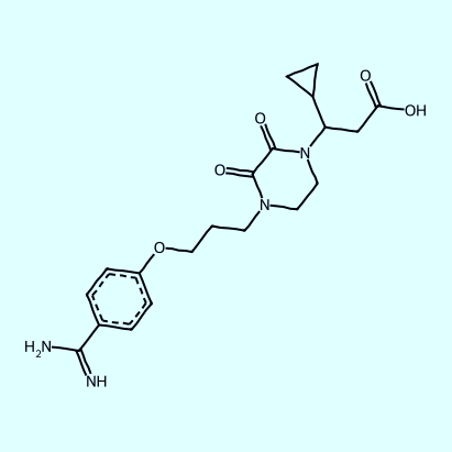 N=C(N)c1ccc(OCCCN2CCN(C(CC(=O)O)C3CC3)C(=O)C2=O)cc1